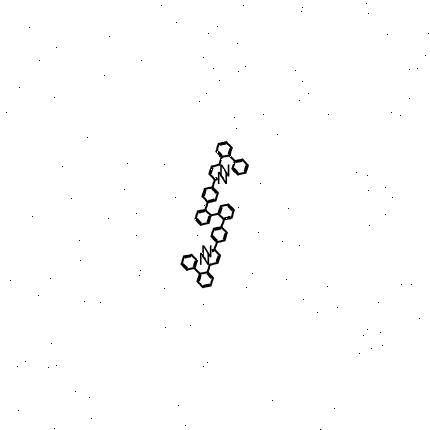 c1ccc(-c2ccccc2-c2ccc(-c3ccc(-c4ccccc4-c4ccccc4-c4ccc(-c5ccc(-c6ccccc6-c6ccccc6)nn5)cc4)cc3)nn2)cc1